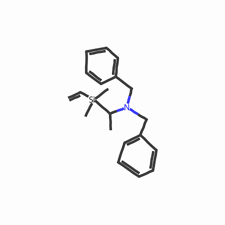 C=C[Si](C)(C)C(C)N(Cc1ccccc1)Cc1ccccc1